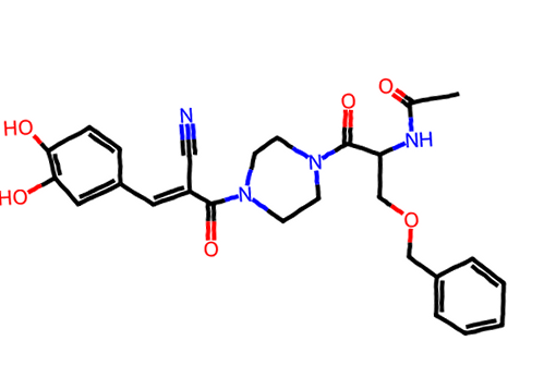 CC(=O)NC(COCc1ccccc1)C(=O)N1CCN(C(=O)C(C#N)=Cc2ccc(O)c(O)c2)CC1